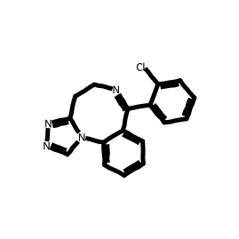 Clc1ccccc1C1=NCCc2nncn2-c2ccccc21